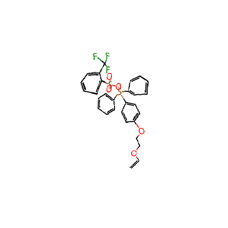 C=COCCOc1ccc(S(OS(=O)(=O)c2ccccc2C(F)(F)F)(c2ccccc2)c2ccccc2)cc1